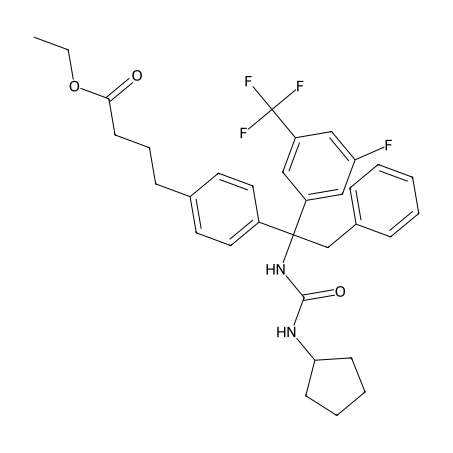 CCOC(=O)CCCc1ccc(C(Cc2ccccc2)(NC(=O)NC2CCCC2)c2cc(F)cc(C(F)(F)F)c2)cc1